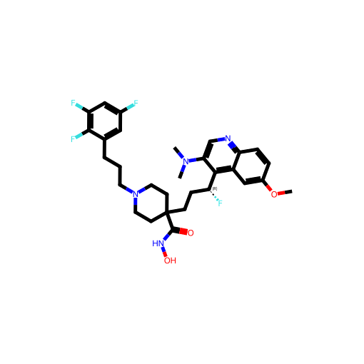 COc1ccc2ncc(N(C)C)c([C@H](F)CCC3(C(=O)NO)CCN(CCCc4cc(F)cc(F)c4F)CC3)c2c1